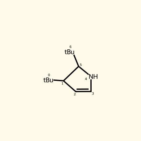 CC(C)(C)C1C=CNC1C(C)(C)C